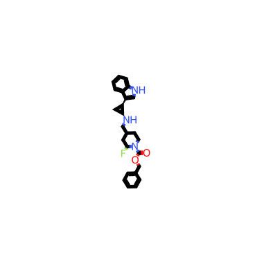 O=C(OCc1ccccc1)N1CCC(CN[C@@H]2C[C@H]2c2c[nH]c3ccccc23)CC1F